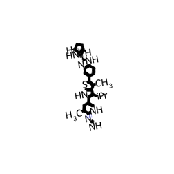 Cc1cc(-c2[nH]c3sc(-c4ccc5[nH]c([C@H]6N[C@@H]7CC[C@H]6C7)nc5c4)c(C)c3c2C(C)C)c[nH]/c1=N\C=N